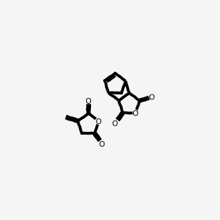 C=C1CC(=O)OC1=O.O=C1OC(=O)C2C3C=CC(C3)C12